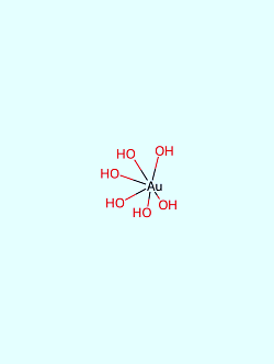 [OH][Au]([OH])([OH])([OH])([OH])[OH]